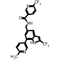 Cc1ccc(-c2cc(CNC(=O)c3ccc(C(F)(F)F)nc3)cc3cc(C(F)(F)F)[nH]c23)cn1